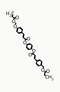 C=CC(=O)OCOc1ccc(/C=C/C(=O)Oc2ccc(OC(=O)/C=C/c3ccc(COC(=O)C=C)cc3)cc2)cc1